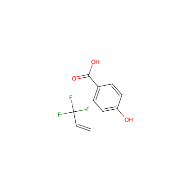 C=CC(F)(F)F.O=C(O)c1ccc(O)cc1